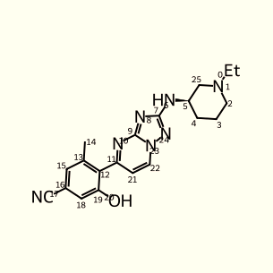 CCN1CCC[C@@H](Nc2nc3nc(-c4c(C)cc(C#N)cc4O)ccn3n2)C1